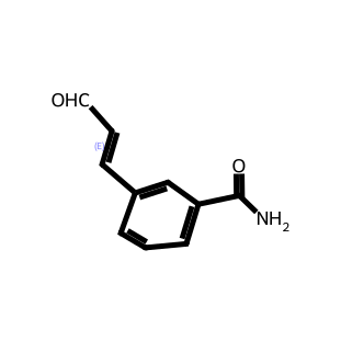 NC(=O)c1cccc(/C=C/C=O)c1